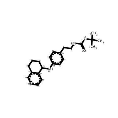 CC(C)(C)OC(=O)NCCc1ccc(NC2CCCc3cnccc32)cc1